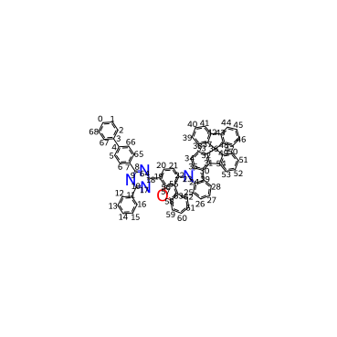 c1ccc(-c2ccc(-c3nc(-c4ccccc4)nc(-c4ccc(-n5c6ccccc6c6c7c(ccc65)C5(c6ccccc6-c6ccccc65)c5ccccc5-7)c5c4oc4ccccc45)n3)cc2)cc1